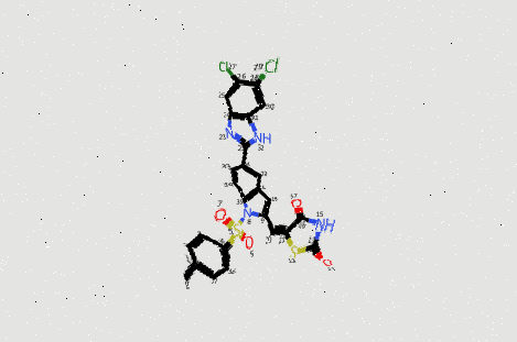 Cc1ccc(S(=O)(=O)n2c(/C=C3/SC(=O)NC3=O)cc3cc(-c4nc5cc(Cl)c(Cl)cc5[nH]4)ccc32)cc1